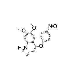 C=C/C=C(/Oc1ccc(N=O)cc1)c1cc(OC)c(OC)cc1N